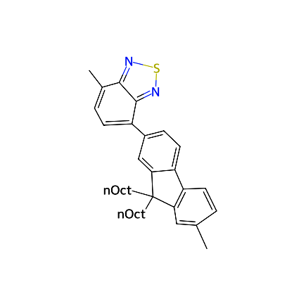 CCCCCCCCC1(CCCCCCCC)c2cc(C)ccc2-c2ccc(-c3ccc(C)c4nsnc34)cc21